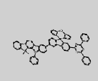 CC1(C)c2ccccc2-c2ccc3c4cc(-c5ccc6c(c5)-c5ccc(-c7nc(-c8ccccc8)nc(-c8ccccc8)n7)cc5C65c6ccccc6Oc6ccccc65)ccc4n(-c4ccccc4)c3c21